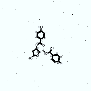 O=C(OC[C@@H]1SC(O)C[C@H]1OC(=O)c1ccc(Cl)cc1)c1ccc(Cl)cc1